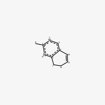 Cc1ncc2c(n1)CCC=C2